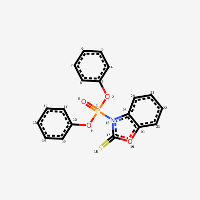 O=P(Oc1ccccc1)(Oc1ccccc1)n1c(=S)oc2ccccc21